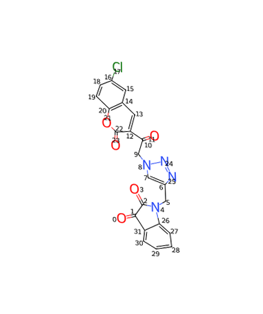 O=C1C(=O)N(Cc2cn(CC(=O)c3cc4cc(Cl)ccc4oc3=O)nn2)c2ccccc21